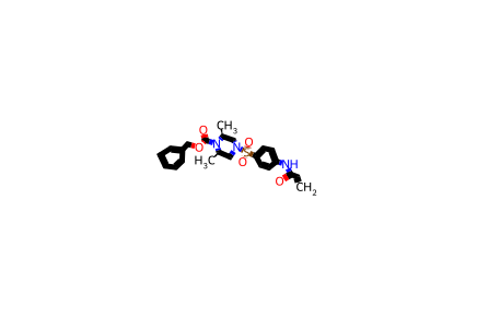 C=CC(=O)Nc1ccc(S(=O)(=O)N2C[C@@H](C)N(C(=O)OCc3ccccc3)[C@@H](C)C2)cc1